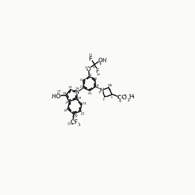 O=C(O)C1CN(c2cc(OC(O)(F)F)cc(-n3cc(O)c4cc(C(F)(F)F)ccc43)c2)C1